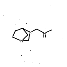 CNCN1CN2CCC1C2